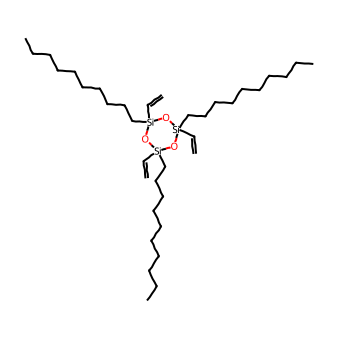 C=C[Si]1(CCCCCCCCCC)O[Si](C=C)(CCCCCCCCCC)O[Si](C=C)(CCCCCCCCCC)O1